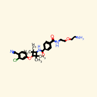 CC1(C)C(NC(=O)c2ccc(C(=O)NCCOCCN)cc2)C(C)(C)C1Oc1ccc(C#N)c(Cl)c1